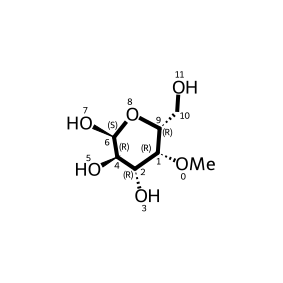 CO[C@@H]1[C@H](O)[C@@H](O)[C@@H](O)O[C@@H]1CO